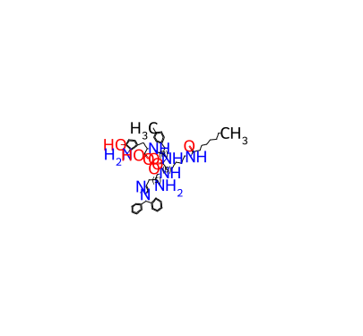 CCCCCCCC(=O)NCCCC[C@H](NC(=O)[C@@H](N)Cc1cn(C(c2ccccc2)c2ccccc2)cn1)C(=O)N[C@H](Cc1ccc(C)cc1)C(=O)NC(Cc1ccc(O)c(N)c1)C(=O)O